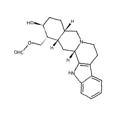 O=COC[C@H]1[C@H]2C[C@H]3c4[nH]c5ccccc5c4CCN3C[C@H]2CC[C@@H]1O